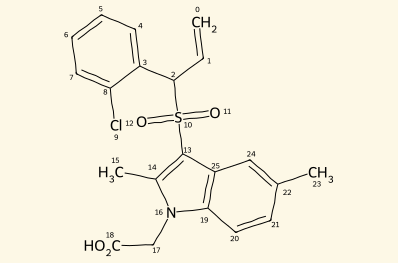 C=CC(c1ccccc1Cl)S(=O)(=O)c1c(C)n(CC(=O)O)c2ccc(C)cc12